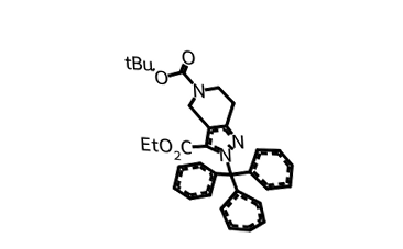 CCOC(=O)c1c2c(nn1C(c1ccccc1)(c1ccccc1)c1ccccc1)CCN(C(=O)OC(C)(C)C)C2